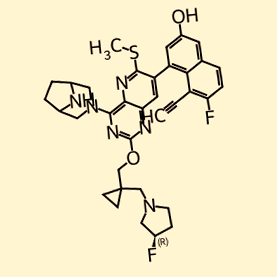 C#Cc1c(F)ccc2cc(O)cc(-c3cc4nc(OCC5(CN6CC[C@@H](F)C6)CC5)nc(N5CC6CCC(C5)N6)c4nc3SC)c12